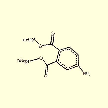 CCCCCCCOC(=O)c1ccc(N)cc1C(=O)OCCCCCCC